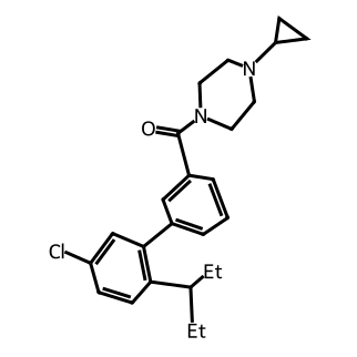 CCC(CC)c1ccc(Cl)cc1-c1cccc(C(=O)N2CCN(C3CC3)CC2)c1